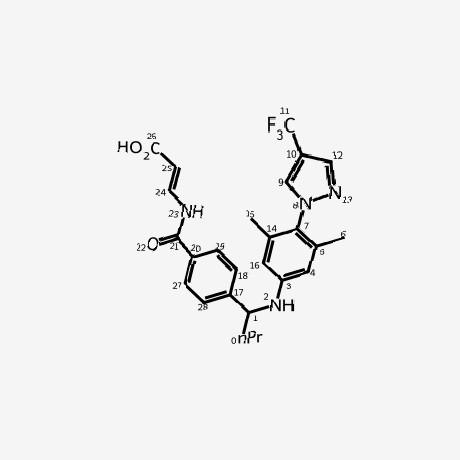 CCCC(Nc1cc(C)c(-n2cc(C(F)(F)F)cn2)c(C)c1)c1ccc(C(=O)NC=CC(=O)O)cc1